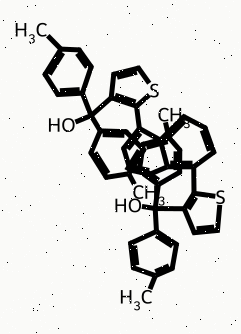 Cc1ccc(C(O)(c2ccc(C)cc2)c2ccsc2-c2cccc3c(-c4sccc4C(O)(c4ccc(C)cc4)c4ccc(C)cc4)cccc23)cc1